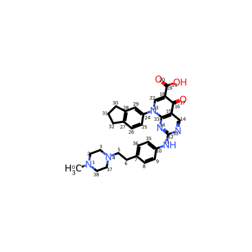 CN1CCN(CCc2ccc(Nc3ncc4c(=O)c(C(=O)O)cn(-c5ccc6c(c5)CCC6)c4n3)cc2)CC1